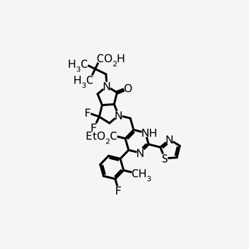 CCOC(=O)C1=C(CN2CC(F)(F)C3CN(CC(C)(C)C(=O)O)C(=O)C32)NC(c2nccs2)=NC1c1cccc(F)c1C